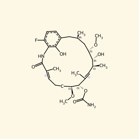 CO[C@H]1C[C@H](C)Cc2ccc(F)c(c2O)NC(=O)/C(C)=C/CC[C@H](OC)[C@@H](OC(N)=O)/C(C)=C/[C@H](C)[C@H]1O